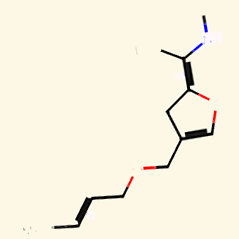 CO/C=C/COCC1=CO/C(=C(/C)NC(C)C)C1